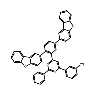 N#Cc1cccc(-c2cc(-c3cc(-c4ccc5oc6ccccc6c5c4)ccc3-c3ccc4oc5ccccc5c4c3)nc(-c3ccccc3)n2)c1